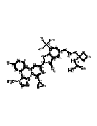 Cn1cnnc1-c1cc(F)ccc1-c1cc(C2CC2)nc(N2Cc3c(cc(COCC4(NC(=O)O)CCC4)cc3C(F)(F)F)C2=O)c1